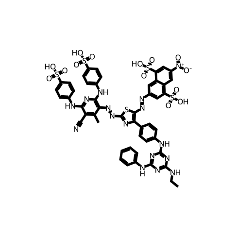 CCNc1nc(Nc2ccccc2)nc(Nc2ccc(-c3nc(N=Nc4c(Nc5ccc(S(=O)(=O)O)cc5)nc(Nc5ccc(S(=O)(=O)O)cc5)c(C#N)c4C)sc3/N=N/c3cc(S(=O)(=O)O)c4cc([N+](=O)[O-])cc(S(=O)(=O)O)c4c3)cc2)n1